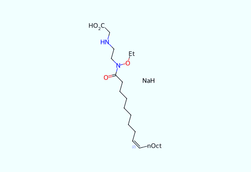 CCCCCCCC/C=C\CCCCCCCC(=O)N(CCNCC(=O)O)OCC.[NaH]